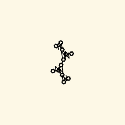 c1ccc(-c2cc(-c3ccc(-n4c5ccccc5c5ccccc54)cc3)nc(-c3ccc(-c4ccc(-c5nc(-c6ccccc6)cc(-c6ccc(-n7c8ccccc8c8ccccc87)cc6)n5)cc4)cc3)n2)cc1